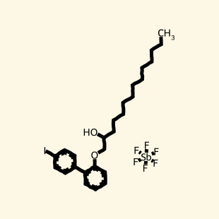 CCCCCCCCCCCCC(O)COc1ccccc1-c1ccc(I)cc1.[F][Sb-]([F])([F])([F])([F])[F]